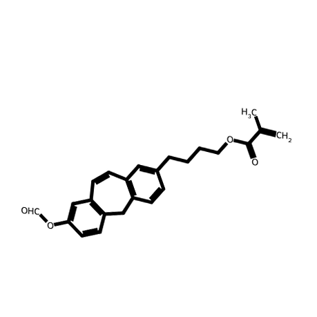 C=C(C)C(=O)OCCCCc1ccc2c(c1)C=Cc1cc(OC=O)ccc1C2